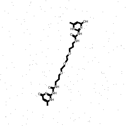 CC1=CC(O)N=C(NC(=O)NCCCOCCOCCOCCCNC(=O)Nc2nc(=O)cc(C)[nH]2)N1